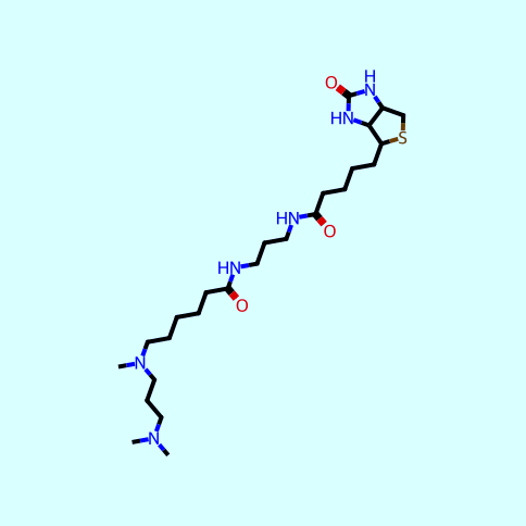 CN(C)CCCN(C)CCCCCC(=O)NCCCNC(=O)CCCCC1SCC2NC(=O)NC21